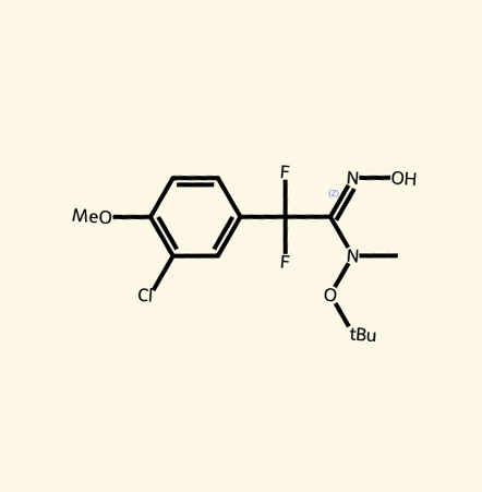 COc1ccc(C(F)(F)/C(=N/O)N(C)OC(C)(C)C)cc1Cl